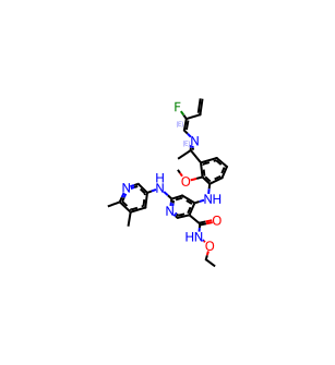 C=C/C(F)=C\N=C(/C)c1cccc(Nc2cc(Nc3cnc(C)c(C)c3)ncc2C(=O)NOCC)c1OC